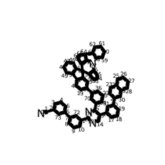 N#Cc1cccc(-c2cccc(-c3ncc(-c4cccc(-c5ccc6ccccc6c5)c4)c(-c4cccc(-c5ccc6c(c5)C5(c7ccccc7-6)c6ccccc6-n6c7ccccc7c7cccc5c76)c4)n3)c2)c1